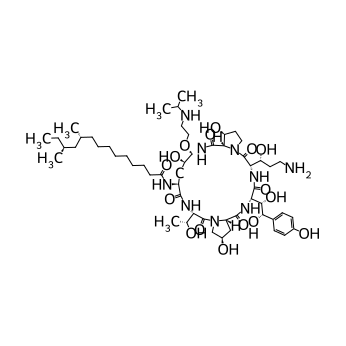 CC[C@H](C)C[C@H](C)CCCCCCCCC(=O)N[C@H]1C[C@@H](O)[C@@H](OCCNC(C)C)NC(=O)[C@@H]2[C@@H](O)CCN2C(=O)[C@H]([C@H](O)CCN)NC(=O)[C@H]([C@H](O)[C@@H](O)c2ccc(O)cc2)NC(=O)[C@@H]2C[C@@H](O)CN2C(=O)[C@H]([C@@H](C)O)NC1=O